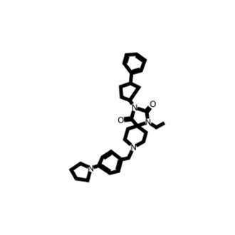 CCN1C(=O)N(C2CCC(c3ccccc3)C2)C(=O)C12CCN(Cc1ccc(N3CCCC3)cc1)CC2